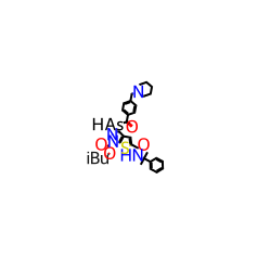 CCC(C)OC(=O)n1nc([AsH]C(=O)c2ccc(CN3CCCCC3)cc2)c2cc(C(=O)NC(C)(C)c3ccccc3)sc21